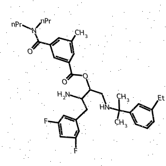 CCCN(CCC)C(=O)c1cc(C)cc(C(=O)OC(CNC(C)(C)c2cccc(CC)c2)C(N)Cc2cc(F)cc(F)c2)c1